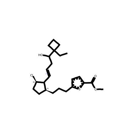 CCC1(C(O)C/C=C/C2[C@@H](CCCc3ccc(C(=O)OC)s3)CC[C@H]2Cl)CCC1